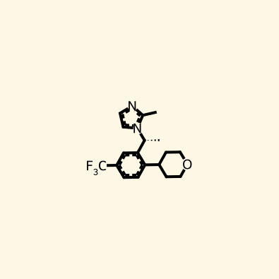 Cc1nccn1[C@H](C)c1cc(C(F)(F)F)ccc1C1CCOCC1